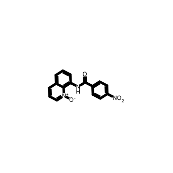 O=C(Nc1cccc2ccc[n+]([O-])c12)c1ccc([N+](=O)[O-])cc1